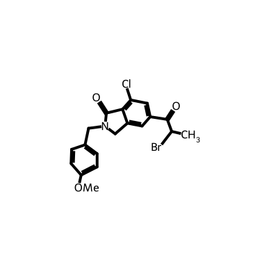 COc1ccc(CN2Cc3cc(C(=O)C(C)Br)cc(Cl)c3C2=O)cc1